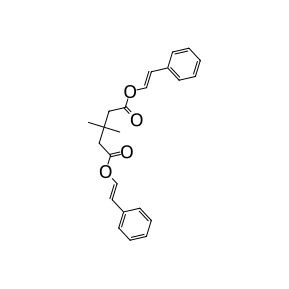 CC(C)(CC(=O)OC=Cc1ccccc1)CC(=O)OC=Cc1ccccc1